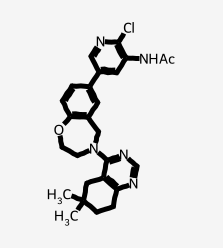 CC(=O)Nc1cc(-c2ccc3c(c2)CN(c2ncnc4c2CC(C)(C)CC4)CCO3)cnc1Cl